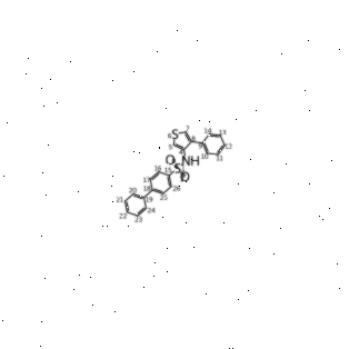 O=S(=O)(Nc1cscc1-c1ccccc1)c1ccc(-c2ccccc2)cc1